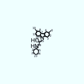 Cc1ccc2c(c1)c1cc(C)ccc1n2CC(O)CNC1CCCCC1